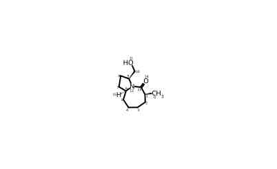 C[C@H]1CCCC[C@H]2CC[C@@H](CO)N2C1=O